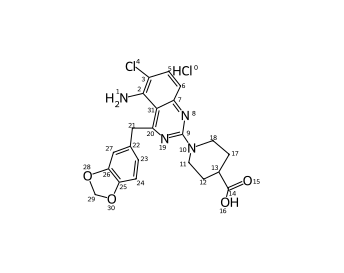 Cl.Nc1c(Cl)ccc2nc(N3CCC(C(=O)O)CC3)nc(Cc3ccc4c(c3)OCO4)c12